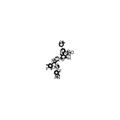 Cc1cc(-c2nn3c(c2-n2ccn(-c4ccc5c(cnn5C)c4F)c2=O)[C@@H](C)N(C(=O)c2cn4cc([C@@H]5CCOC(C)(C)C5)ccc4c2C2(c4noc(=O)[nH]4)CC2)CC3)cc(C)c1F